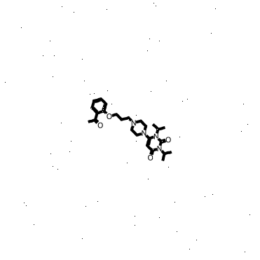 CC(=O)c1ccccc1OCCCN1CCN(c2cc(=O)n(C(C)C)c(=O)n2C(C)C)CC1